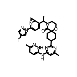 CC1=NNC(Nc2cc(C)nc(C3CCC4(CC3)OCCN(C(C)C3=CC=C(n5cc(F)cn5)N5CC35)C4=O)n2)=CC1